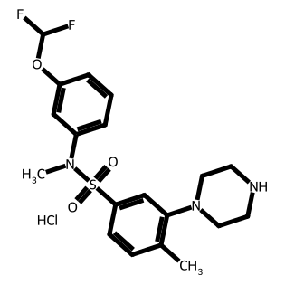 Cc1ccc(S(=O)(=O)N(C)c2cccc(OC(F)F)c2)cc1N1CCNCC1.Cl